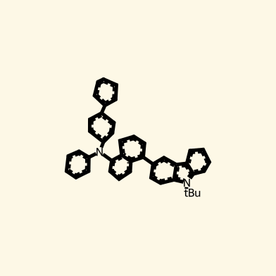 CC(C)(C)n1c2ccccc2c2cc(-c3cccc4c(N(c5ccccc5)c5ccc(-c6ccccc6)cc5)cccc34)ccc21